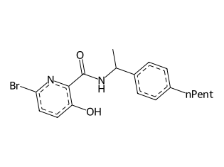 CCCCCc1ccc(C(C)NC(=O)c2nc(Br)ccc2O)cc1